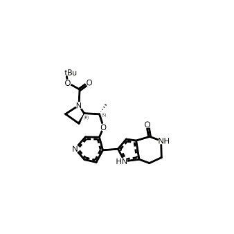 C[C@H](Oc1cnccc1-c1cc2c([nH]1)CCNC2=O)[C@H]1CCN1C(=O)OC(C)(C)C